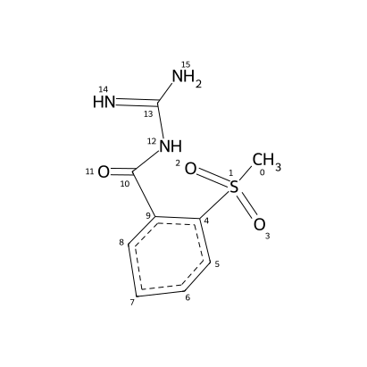 CS(=O)(=O)c1ccccc1C(=O)NC(=N)N